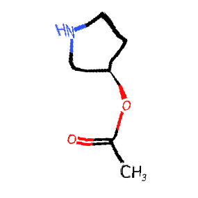 CC(=O)O[C@@H]1CCNC1